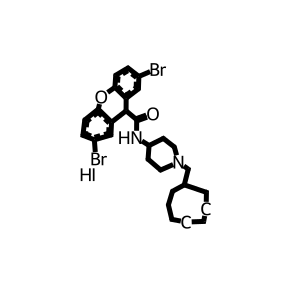 I.O=C(NC1CCN(CC2CCCCCCC2)CC1)C1c2cc(Br)ccc2Oc2ccc(Br)cc21